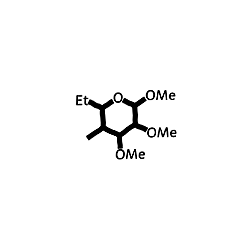 CCC1OC(OC)C(OC)C(OC)C1C